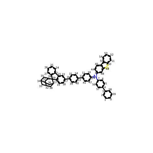 c1ccc(-c2ccc(N(c3ccc(-c4ccc(-c5ccc6c(c5)-c5ccccc5C65C6CC7CC(C6)CC5C7)cc4)cc3)c3ccc4c(c3)sc3ccccc34)cc2)cc1